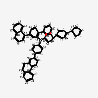 c1ccc(-c2ccc(-c3ccc(N(c4ccc(-c5ccc6c(ccc7ccccc76)c5)cc4)c4cc(-c5cccc6ccccc56)ccc4-c4ccccc4)cc3)cc2)cc1